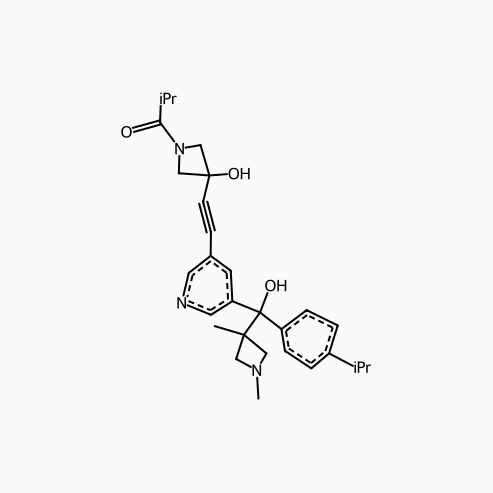 CC(C)C(=O)N1CC(O)(C#Cc2cncc(C(O)(c3ccc(C(C)C)cc3)C3(C)CN(C)C3)c2)C1